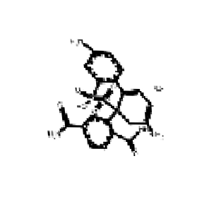 NC(=O)c1ccc(C(N)=O)c(C2(S(=O)(=O)O)CC(N)=CC=C2c2ccc(N)cc2S(=O)(=O)O)c1.[Na]